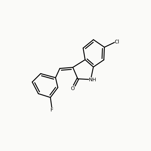 O=C1Nc2cc(Cl)ccc2C1=Cc1cccc(F)c1